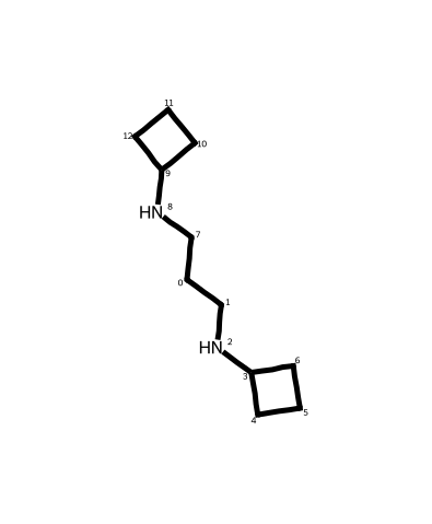 C(CNC1CCC1)CNC1CCC1